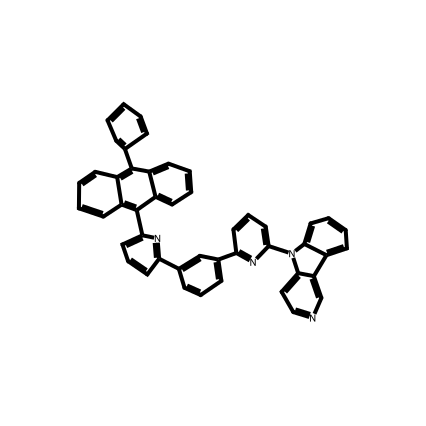 c1ccc(-c2c3ccccc3c(-c3cccc(-c4cccc(-c5cccc(-n6c7ccccc7c7cnccc76)n5)c4)n3)c3ccccc23)cc1